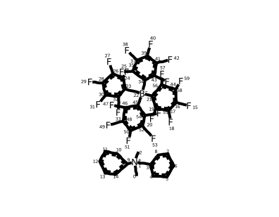 C[N+](C)(c1ccccc1)c1ccccc1.Fc1c(F)c(F)c([B-](c2c(F)c(F)c(F)c(F)c2F)(c2c(F)c(F)c(F)c(F)c2F)c2c(F)c(F)c(F)c(F)c2F)c(F)c1F